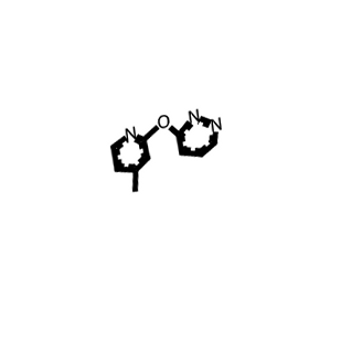 Cc1ccnc(Oc2cccnn2)c1